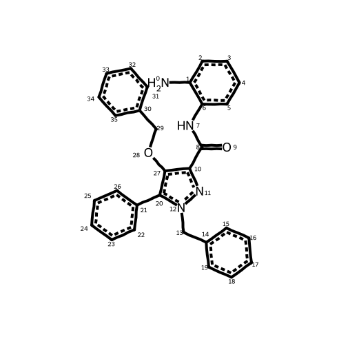 Nc1ccccc1NC(=O)c1nn(Cc2ccccc2)c(-c2ccccc2)c1OCc1ccccc1